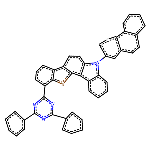 c1ccc(-c2nc(-c3ccccc3)nc(-c3cccc4c3sc3c4ccc4c3c3ccccc3n4-c3ccc4c(ccc5ccccc54)c3)n2)cc1